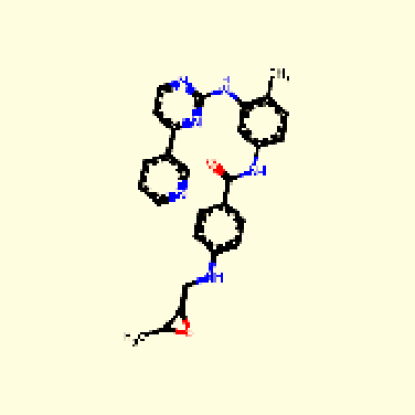 Cc1ccc(NC(=O)c2ccc(NCC3OC3C)cc2)cc1Nc1nccc(-c2cccnc2)n1